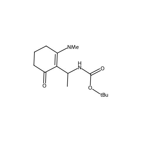 CNC1=C(C(C)NC(=O)OC(C)(C)C)C(=O)CCC1